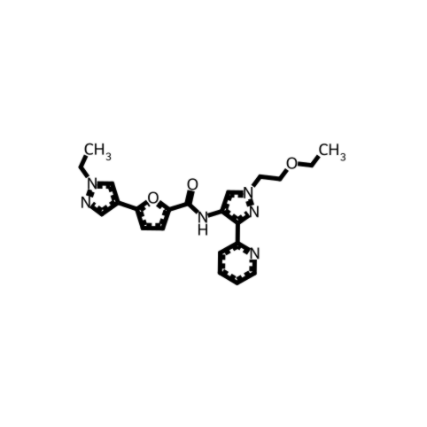 CCOCCn1cc(NC(=O)c2ccc(-c3cnn(CC)c3)o2)c(-c2ccccn2)n1